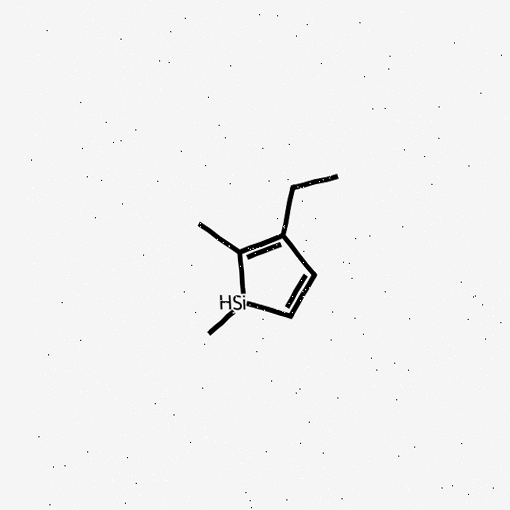 CCC1=C(C)[SiH](C)C=C1